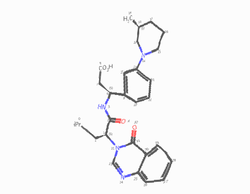 CC(C)C[C@@H](C(=O)N[C@@H](CC(=O)O)c1cccc(N2CCC[C@H](C)C2)c1)n1cnc2ccccc2c1=O